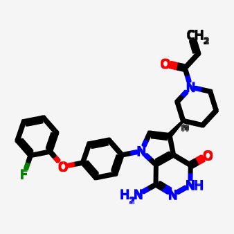 C=CC(=O)N1CCC[C@@H](c2cn(-c3ccc(Oc4ccccc4F)cc3)c3c(N)n[nH]c(=O)c23)C1